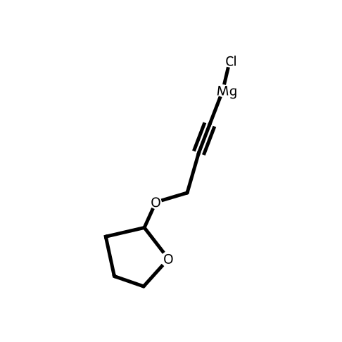 [Cl][Mg][C]#CCOC1CCCO1